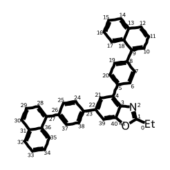 CCc1nc2c(-c3ccc(-c4cccc5ccccc45)cc3)cc(-c3ccc(-c4cccc5ccccc45)cc3)cc2o1